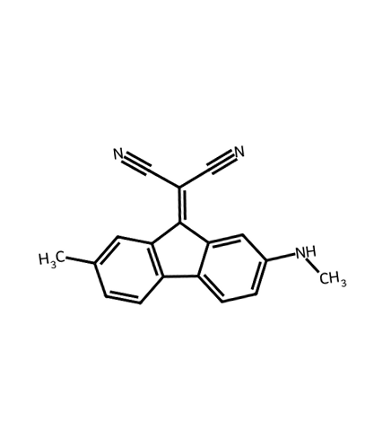 CNc1ccc2c(c1)C(=C(C#N)C#N)c1cc(C)ccc1-2